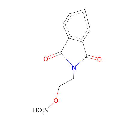 O=C1c2ccccc2C(=O)N1CCOS(=O)(=O)O